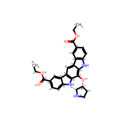 CCOC(=O)c1ccc2[nH]c3c(O[C@@H]4CCNC4)c4[nH]c5ccc(C(=O)OCC)cc5c4cc3c2c1